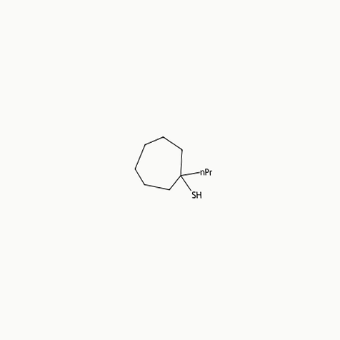 CCCC1(S)CCCCCC1